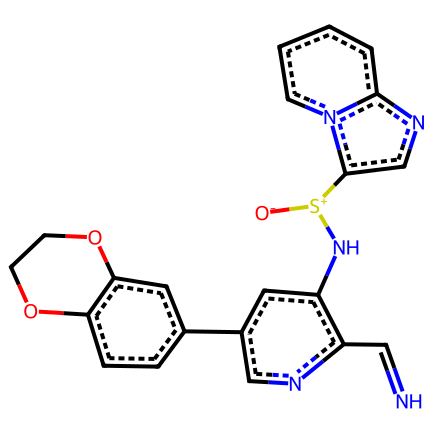 N=Cc1ncc(-c2ccc3c(c2)OCCO3)cc1N[S+]([O-])c1cnc2ccccn12